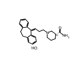 Cl.NC(=O)[C@@H]1CCCN(CCC=C2c3ccccc3CCc3ccccc32)C1